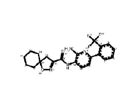 Nc1nc(-c2ccccc2C(F)(F)F)ccc1NC(=O)C1=NOC2(CCCCC2)C1